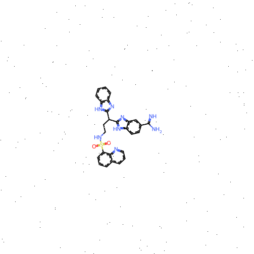 N=C(N)c1ccc2[nH]c(C(CCNS(=O)(=O)c3cccc4cccnc34)c3nc4ccccc4[nH]3)nc2c1